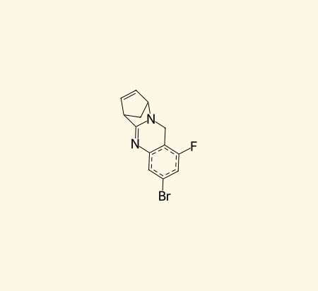 Fc1cc(Br)cc2c1CN1C(=N2)C2C=CC1C2